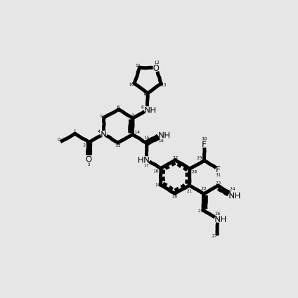 CCC(=O)N1CCC(NC2CCOC2)=C(C(=N)Nc2ccc(/C(C=N)=C/NC)c(C(F)F)c2)C1